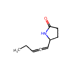 CCC=C=CC1CCC(=O)N1